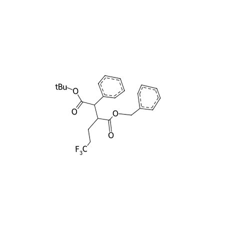 CC(C)(C)OC(=O)C(c1ccccc1)C(CCC(F)(F)F)C(=O)OCc1ccccc1